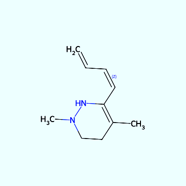 C=C/C=C\C1=C(C)CCN(C)N1